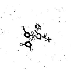 CC(C)(C)OC(=O)N1CCN(S(=O)(=O)c2cc(C#N)ccc2Oc2cc(Cl)cc(Cl)c2)C(Cn2cncn2)C1